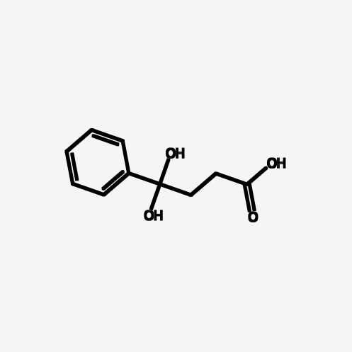 O=C(O)CCC(O)(O)c1ccccc1